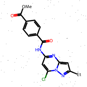 CCc1cc2nc(NC(=O)c3ccc(C(=O)OC)cc3)cc(Cl)n2n1